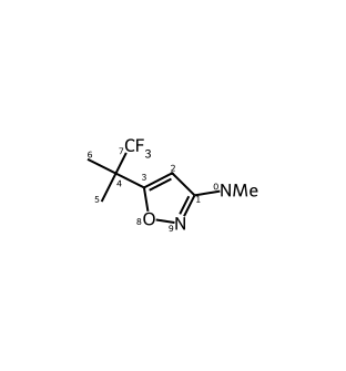 CNc1cc(C(C)(C)C(F)(F)F)on1